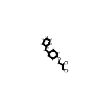 ClC=C(Cl)COc1ccc(Cc2ccccc2)cc1